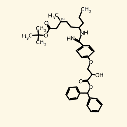 CCCC(CC[C@H](C)CC(=O)OC(C)(C)C)NC(=N)c1ccc(OCC(O)C(=O)OC(c2ccccc2)c2ccccc2)cc1